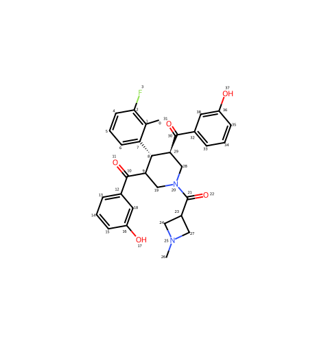 Cc1c(F)cccc1[C@H]1C(C(=O)c2cccc(O)c2)CN(C(=O)C2CN(C)C2)C[C@@H]1C(=O)c1cccc(O)c1